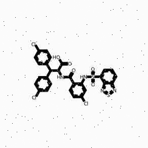 O=C(NC(C(=O)O)C(c1ccc(Cl)cc1)c1ccc(Cl)cc1)c1ccc(Cl)cc1NS(=O)(=O)c1cccc2nsnc12